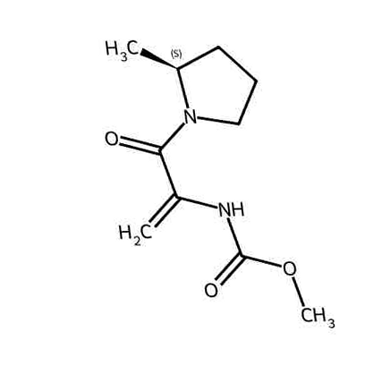 C=C(NC(=O)OC)C(=O)N1CCC[C@@H]1C